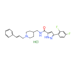 Cl.O=C(NCC1CCN(C/C=C/c2ccccc2)CC1)c1cc(-c2ccc(F)cc2F)n[nH]1